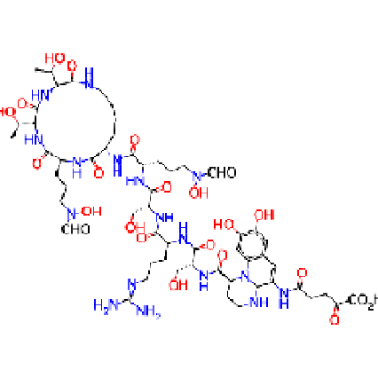 C[C@@H](O)[C@@H]1NC(=O)[C@H](CCCN(O)C=O)NC(=O)[C@@H](NC(=O)[C@H](CCCN(O)C=O)NC(=O)[C@@H](CO)NC(=O)[C@H](CCCN=C(N)N)NC(=O)[C@@H](CO)NC(=O)[C@@H]2CCNC3C(NC(=O)CCC(=O)C(=O)O)=Cc4cc(O)c(O)cc4N32)CCCCNC(=O)[C@H]([C@@H](C)O)NC1=O